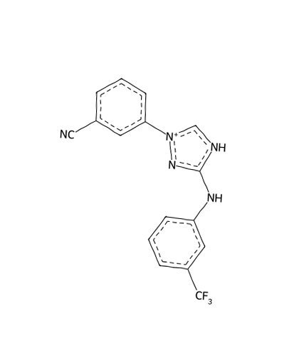 N#Cc1cccc(-[n+]2c[nH]c(Nc3cccc(C(F)(F)F)c3)n2)c1